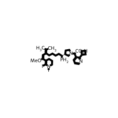 CO/C(=C/C(CCCCC(P)[C@@H]1CCN(C(C(=O)O)c2cccnc2C2CCC2)C1)=C(C)C)C1=C(I)N(I)CCC1